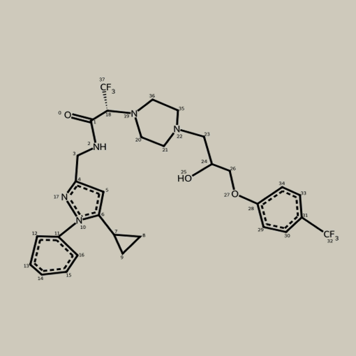 O=C(NCc1cc(C2CC2)n(-c2ccccc2)n1)[C@@H](N1CCN(CC(O)COc2ccc(C(F)(F)F)cc2)CC1)C(F)(F)F